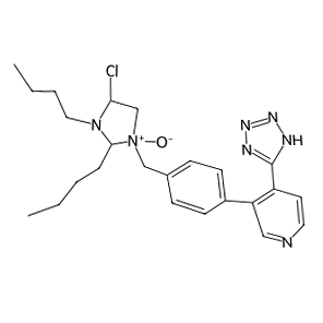 CCCCC1N(CCCC)C(Cl)C[N+]1([O-])Cc1ccc(-c2cnccc2-c2nnn[nH]2)cc1